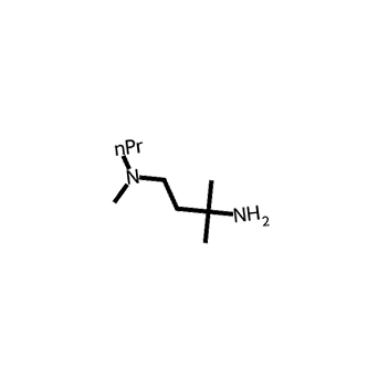 CCCN(C)CCC(C)(C)N